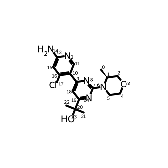 C[C@H]1COCCN1c1nc(-c2cnc(N)cc2Cl)cc(C(C)(C)O)n1